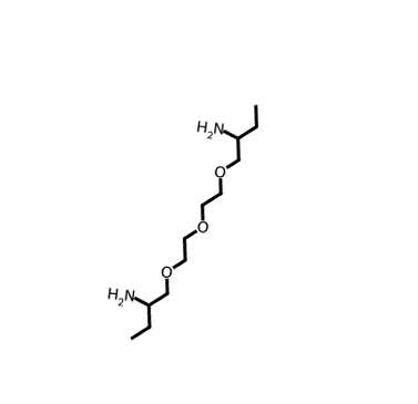 CCC(N)COCCOCCOCC(N)CC